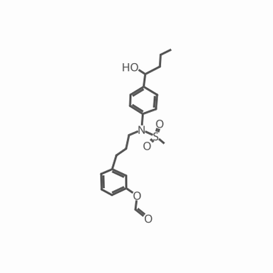 CCCC(O)c1ccc(N(CCCc2cccc(OC=O)c2)S(C)(=O)=O)cc1